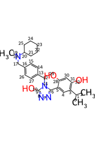 CC(C)c1cc(-c2nnc(O)n2Cc2ccc(CN(C)C3CCCCC3)cc2)c(O)cc1O